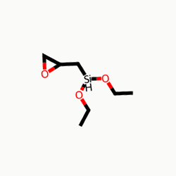 CCO[SiH](CC1CO1)OCC